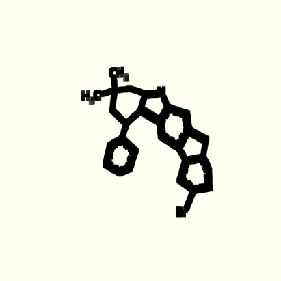 CC1(C)CC2=Nc3cc4c(cc3=C2C(c2ccccc2)C1)-c1cc(Br)ccc1C=4